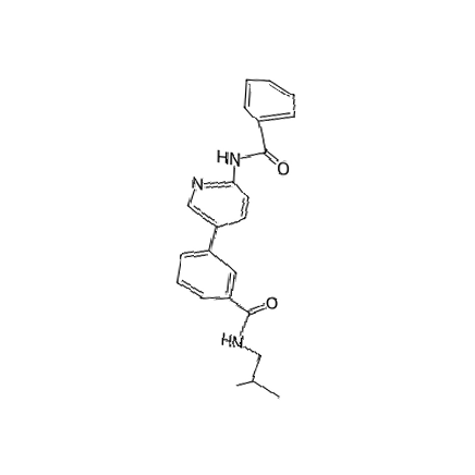 CC(C)CNC(=O)c1cccc(-c2ccc(NC(=O)c3ccccc3)nc2)c1